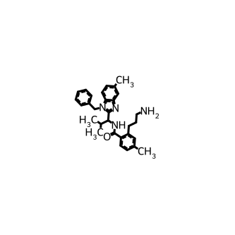 Cc1ccc(C(=O)NC(c2nc3cc(C)ccc3n2Cc2ccccc2)C(C)C)c(CCCN)c1